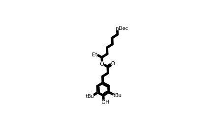 CCCCCCCCCCCCCCCC(CC)OC(=O)CCc1cc(C(C)(C)C)c(O)c(C(C)(C)C)c1